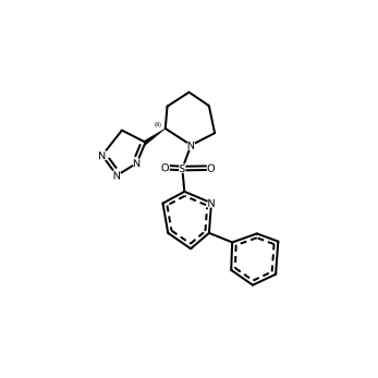 O=S(=O)(c1cccc(-c2ccccc2)n1)N1CCCC[C@@H]1C1=NN=NC1